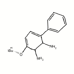 CC[C@@H](C)OC1=CC=C(c2ccccc2)C(N)C1N